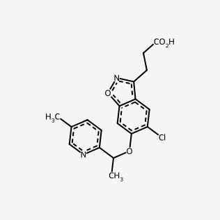 Cc1ccc(C(C)Oc2cc3onc(CCC(=O)O)c3cc2Cl)nc1